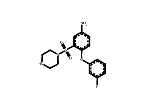 O=[N+]([O-])c1ccc(Oc2cccc(F)c2)c(S(=O)(=O)N2CCNCC2)c1